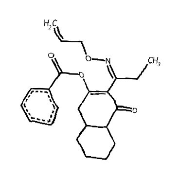 C=CCO/N=C(/CC)C1=C(OC(=O)c2ccccc2)CC2CCCCC2C1=O